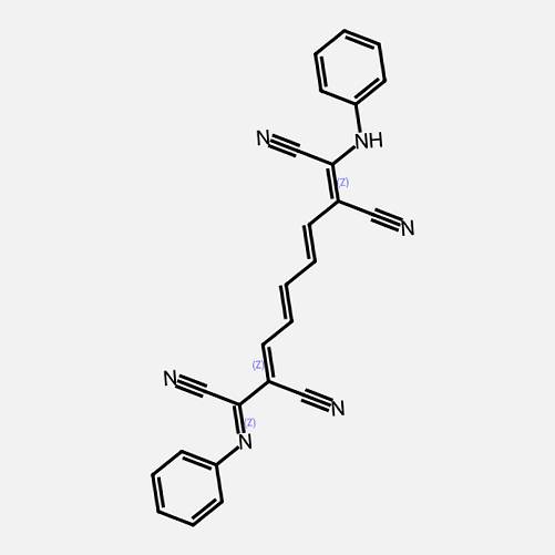 N#CC(=C\C=CC=C/C(C#N)=C(\C#N)Nc1ccccc1)/C(C#N)=N/c1ccccc1